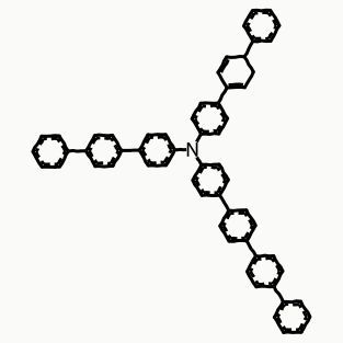 C1=CC(c2ccccc2)CC=C1c1ccc(N(c2ccc(-c3ccc(-c4ccccc4)cc3)cc2)c2ccc(-c3ccc(-c4ccc(-c5ccccc5)cc4)cc3)cc2)cc1